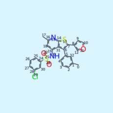 Cc1cccc(-c2c(-c3ccoc3)sc3nc(C)cc(NS(=O)(=O)c4cccc(Cl)c4)c23)c1